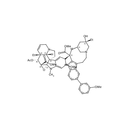 CC[C@]1(O)C[C@H]2CN(CCc3c([nH]c4ccc(-c5cccc(OC)c5)cc34)[C@@](C(=O)OC)(C3C=C4C(=CC3OC)N(C)[C@@]35O[C@]3(C(=O)OC)[C@H](OC(C)=O)[C@]3(CC)C=CCN6CC[C@]45[C@@H]63)C2)C1